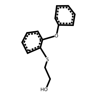 OCCSc1ccccc1Oc1ccccc1